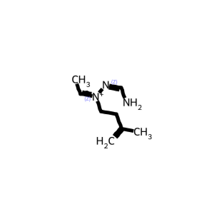 C=C(C)CC[N+](=C/C)/N=C\N